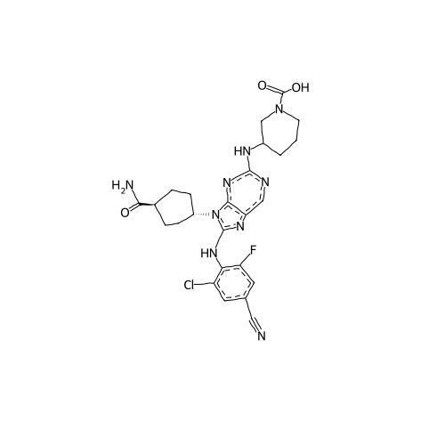 N#Cc1cc(F)c(Nc2nc3cnc(NC4CCCN(C(=O)O)C4)nc3n2[C@H]2CC[C@H](C(N)=O)CC2)c(Cl)c1